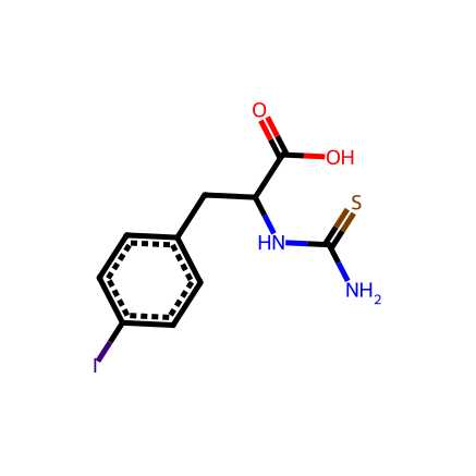 NC(=S)NC(Cc1ccc(I)cc1)C(=O)O